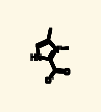 Cc1c[nH]c(C(=O)[O-])[n+]1C